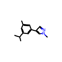 Cc1cc(-c2cnn(C)c2)cc(C(C)C)c1